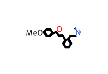 COc1ccc(C(=O)C=Cc2ccccc2CCN(C)C)cc1